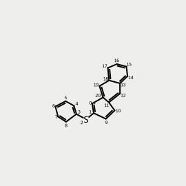 [c]1c(Sc2ccccc2)ccc2cc3ccccc3cc12